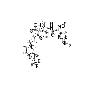 CON=C(C(=O)NC1C(=O)N2C(C(=O)O)=C(/C=C/C[n+]3ccc4sc(C(F)(F)F)nc4c3)SCC12)c1csc(N)n1